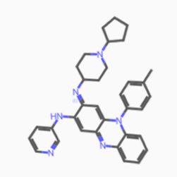 Cc1ccc(-n2c3c/c(=N\C4CCN(C5CCCC5)CC4)c(Nc4cccnc4)cc-3nc3ccccc32)cc1